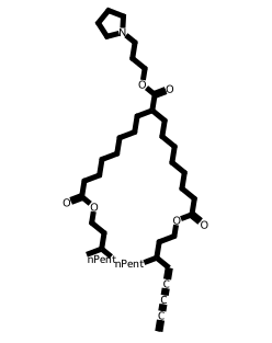 C=C=C=C=CC(CCCCC)CCOC(=O)CCCCCCCC(CCCCCCCC(=O)OCCC(C)CCCCC)C(=O)OCCCN1CCCC1